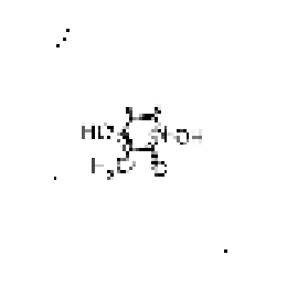 Cc1c(O)ccn(O)c1=O